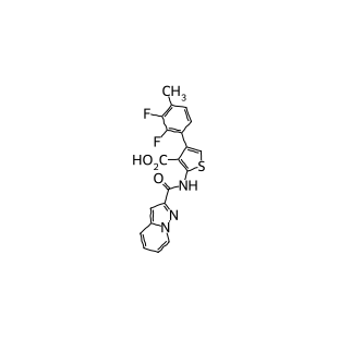 Cc1ccc(-c2csc(NC(=O)c3cc4ccccn4n3)c2C(=O)O)c(F)c1F